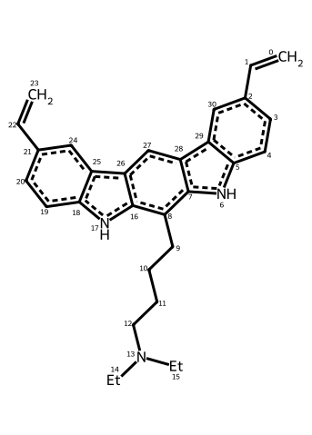 C=Cc1ccc2[nH]c3c(CCCCN(CC)CC)c4[nH]c5ccc(C=C)cc5c4cc3c2c1